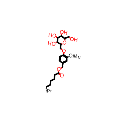 COc1cc(COC(=O)CCCCCC(C)C)ccc1OCC1OC(CO)C(O)C(O)C1O